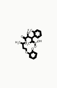 CC(=O)C(C(=O)OC(C)CCOc1ccccc1Cl)C(C(C(=O)O)=[N+]([O-])O)c1ccccc1C(F)(F)F